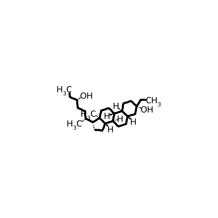 CC[C@H](O)CC[C@@H](C)[C@H]1CC[C@H]2[C@@H]3CC[C@H]4C[C@](O)(CC)CC[C@@H]4[C@H]3CC[C@]12C